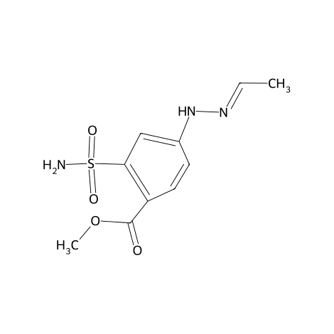 CC=NNc1ccc(C(=O)OC)c(S(N)(=O)=O)c1